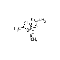 C=COP(=O)(OC(C)Cl)OC(C)Cl